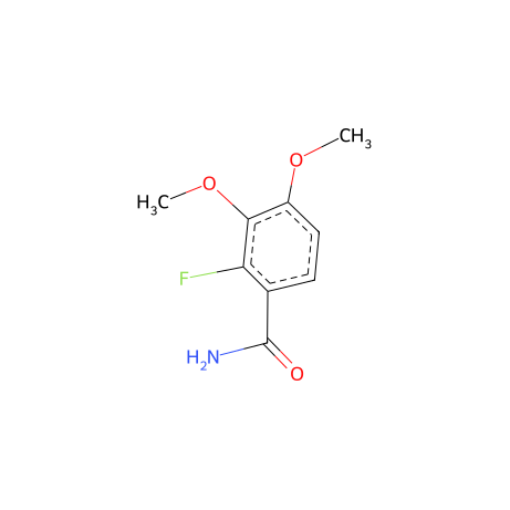 COc1ccc(C(N)=O)c(F)c1OC